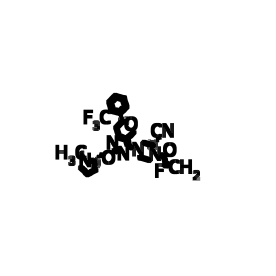 C=C(F)C(=O)N1CCN(c2nc(OC[C@@H]3CCCN3C)nc3c2CO[C@H](c2ccccc2C(F)(F)F)C3)C[C@@H]1CC#N